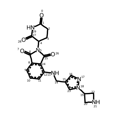 O=C1CCC(N2C(=O)c3cccc(NCc4cnn(C5CNC5)c4)c3C2=O)C(=O)N1